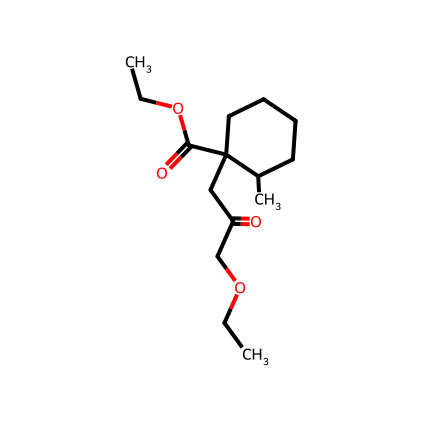 CCOCC(=O)CC1(C(=O)OCC)CCCCC1C